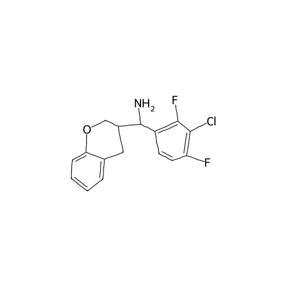 NC(c1ccc(F)c(Cl)c1F)C1COc2ccccc2C1